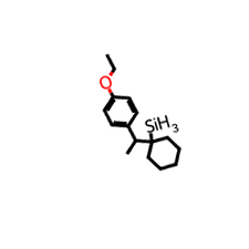 CCOc1ccc(C(C)C2([SiH3])CCCCC2)cc1